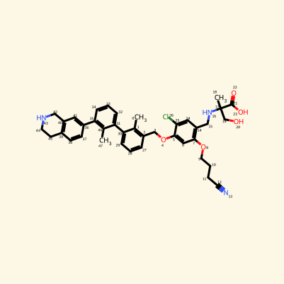 Cc1c(COc2cc(OCCCC#N)c(CNC(C)(CO)C(=O)O)cc2Cl)cccc1-c1cccc(-c2ccc3c(c2)CNCC3)c1C